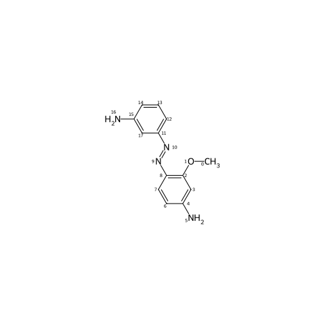 COc1cc(N)ccc1N=Nc1cccc(N)c1